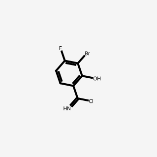 N=C(Cl)c1ccc(F)c(Br)c1O